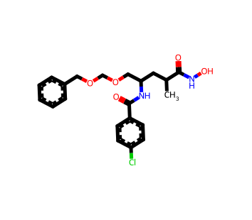 CC(CC(COCOCc1ccccc1)NC(=O)c1ccc(Cl)cc1)C(=O)NO